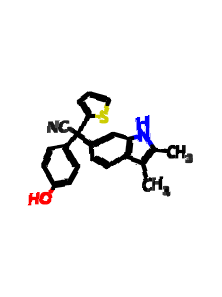 Cc1[nH]c2cc(C(C#N)(c3ccc(O)cc3)c3cccs3)ccc2c1C